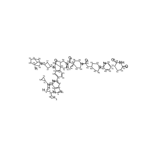 CC(C)n1cnc2cc(-c3ccc4c(c3)N(C3CC(N5CC6CC[C@@H](C6)C5)C3)C(=O)C43CCN(C(=O)C4(C)CCN(C(=O)CC5CCN(c6ccc([C@H]7CCC(=O)NC7=O)cn6)CC5)CC4)CC3)nc(NC3CC3)c21